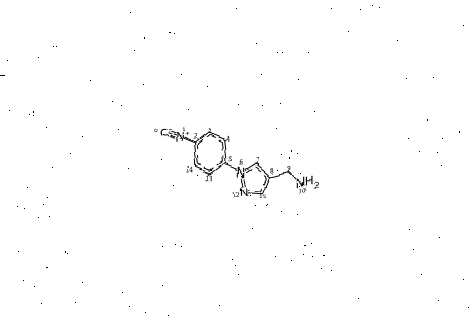 [C-]#[N+]c1ccc(-n2cc(CN)cn2)cc1